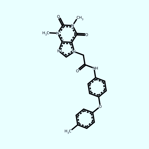 Cc1ccc(Oc2ccc(NC(=O)Cn3cnc4c3c(=O)n(C)c(=O)n4C)cc2)cc1